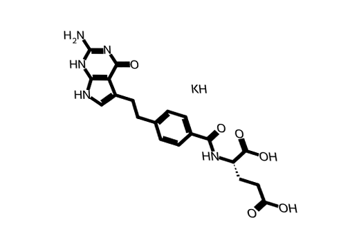 Nc1nc(=O)c2c(CCc3ccc(C(=O)N[C@@H](CCC(=O)O)C(=O)O)cc3)c[nH]c2[nH]1.[KH]